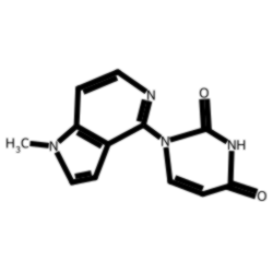 Cn1ccc2c(-n3ccc(=O)[nH]c3=O)nccc21